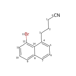 N#CCCCc1cccc2cccc(Br)c12